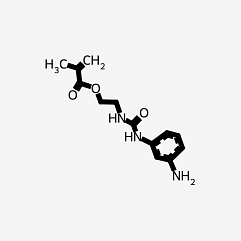 C=C(C)C(=O)OCCNC(=O)Nc1cccc(N)c1